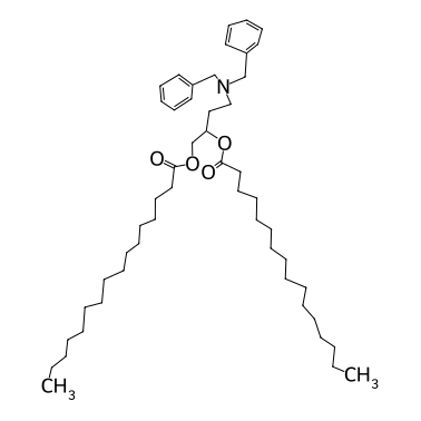 CCCCCCCCCCCCCCCC(=O)OCC(CCN(Cc1ccccc1)Cc1ccccc1)OC(=O)CCCCCCCCCCCCCCC